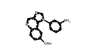 COc1ccc2ncc3ncn(-c4cccc(N)c4)c3c2c1